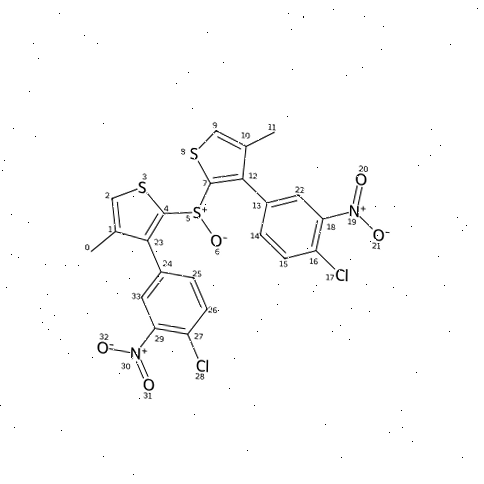 Cc1csc([S+]([O-])c2scc(C)c2-c2ccc(Cl)c([N+](=O)[O-])c2)c1-c1ccc(Cl)c([N+](=O)[O-])c1